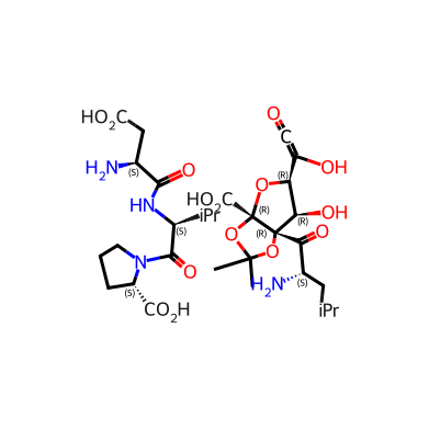 CC(C)C[C@H](N)C(=O)[C@@]12OC(C)(C)O[C@]1(C(=O)O)O[C@@H](C(O)=C=O)[C@H]2O.CC(C)[C@H](NC(=O)[C@@H](N)CC(=O)O)C(=O)N1CCC[C@H]1C(=O)O